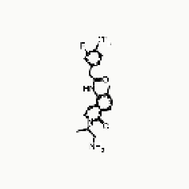 Cc1ccc2c(=O)n(C(C)CN)ccc2c1NC(=O)Cc1ccc(C(F)(F)F)c(F)c1